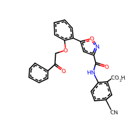 N#Cc1ccc(NC(=O)c2cc(-c3ccccc3OCC(=O)c3ccccc3)on2)c(C(=O)O)c1